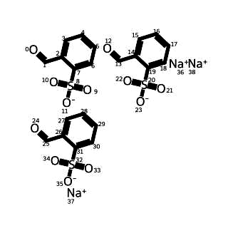 O=Cc1ccccc1S(=O)(=O)[O-].O=Cc1ccccc1S(=O)(=O)[O-].O=Cc1ccccc1S(=O)(=O)[O-].[Na+].[Na+].[Na+]